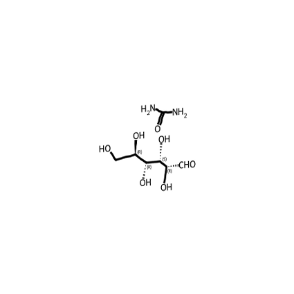 NC(N)=O.O=C[C@H](O)[C@@H](O)[C@H](O)[C@H](O)CO